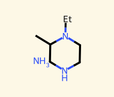 CCN1CCNCC1C.N